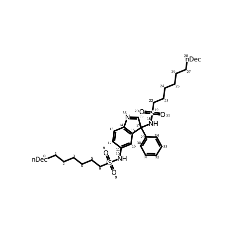 CCCCCCCCCCCCCCCCS(=O)(=O)Nc1ccc2c(c1)C(NS(=O)(=O)CCCCCCCCCCCCCCCC)(c1ccccc1)C=N2